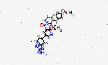 COc1ccc(CC2CCCN(C(=O)c3cc(-c4ccn5nc(N)nc5c4)cnc3OC)C2)cc1